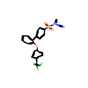 CN(C#N)S(=O)(=O)c1ccc(-c2ccccc2Oc2ccc(C(F)(F)F)cc2)cc1